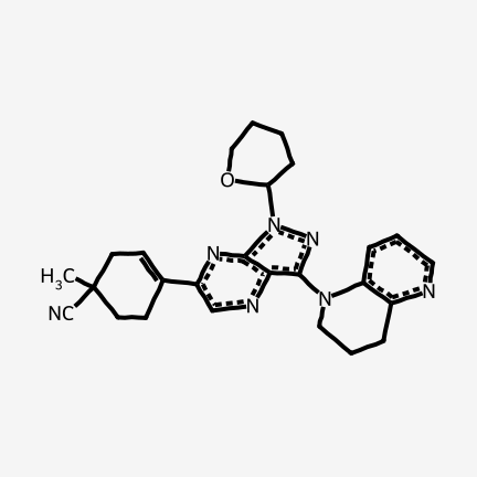 CC1(C#N)CC=C(c2cnc3c(N4CCCc5ncccc54)nn(C4CCCCO4)c3n2)CC1